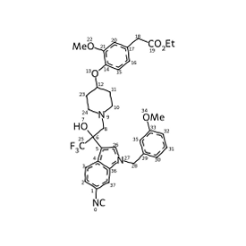 [C-]#[N+]c1ccc2c(C(O)(CN3CCC(Oc4ccc(CC(=O)OCC)cc4OC)CC3)C(F)(F)F)cn(Cc3cccc(OC)c3)c2c1